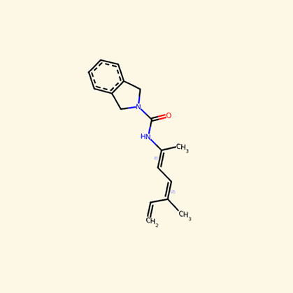 C=C/C(C)=C\C=C(/C)NC(=O)N1Cc2ccccc2C1